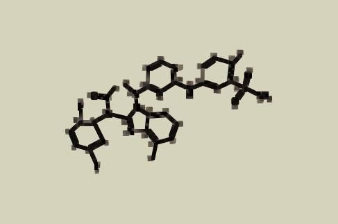 CC(=O)N(c1cc(F)ccc1F)c1nc2c(C)cccc2n1N(C)c1ccnc(Nc2ccc(C)c(S(N)(=O)=O)c2)n1